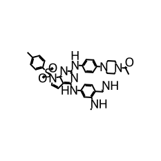 CNc1cc(Nc2nc(Nc3ccc(N4CCN(C(C)=O)CC4)cc3)nc3c2ccn3S(=O)(=O)c2ccc(C)cc2)ccc1C=N